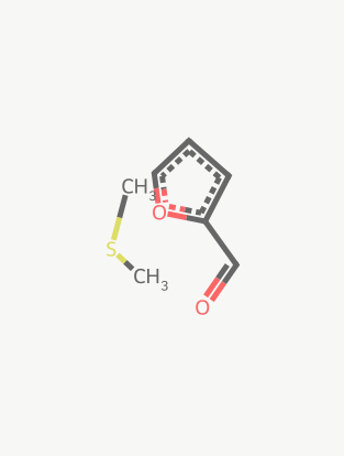 CSC.O=Cc1ccco1